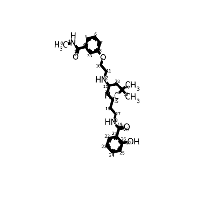 CNC(=O)c1cccc(OCCNC(CCCCNC(=O)c2ccccc2O)CC(C)(C)C)c1